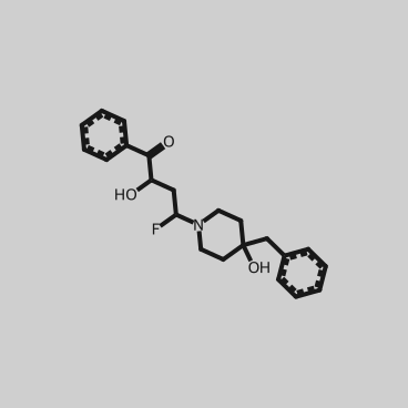 O=C(c1ccccc1)C(O)CC(F)N1CCC(O)(Cc2ccccc2)CC1